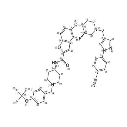 N#Cc1ccc(-n2cc(CN3CC[C@@H](Oc4ccc5oc(C(=O)NC6CCN(Cc7ccc(OC(F)(F)F)cc7)CC6)cc5c4)[C@H](F)C3)cn2)cc1